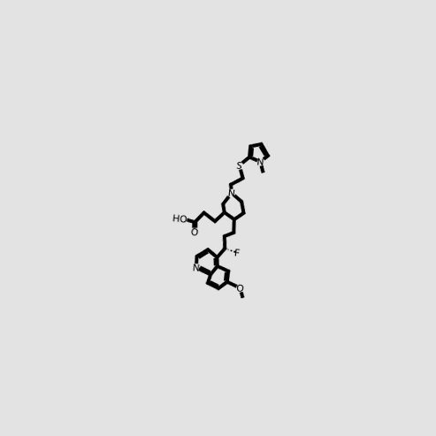 COc1ccc2nccc([C@@H](F)CCC3CCN(CCSc4cccn4C)CC3CCC(=O)O)c2c1